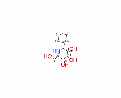 OCC1NC(c2ccccc2)C(O)C(O)C1O